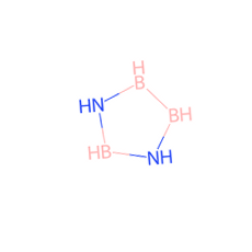 B1BNBN1